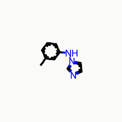 Cc1cccc(Nn2ccnc2)c1